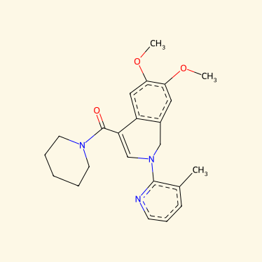 COc1cc2c(cc1OC)C(C(=O)N1CCCCC1)=CN(c1ncccc1C)C2